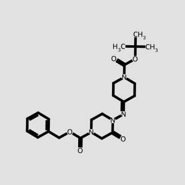 CC(C)(C)OC(=O)N1CCC(=NN2CCN(C(=O)OCc3ccccc3)CC2=O)CC1